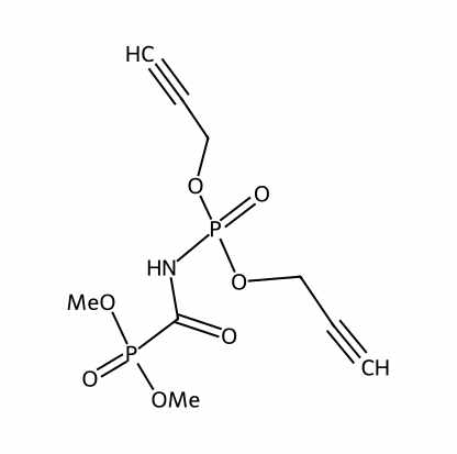 C#CCOP(=O)(NC(=O)P(=O)(OC)OC)OCC#C